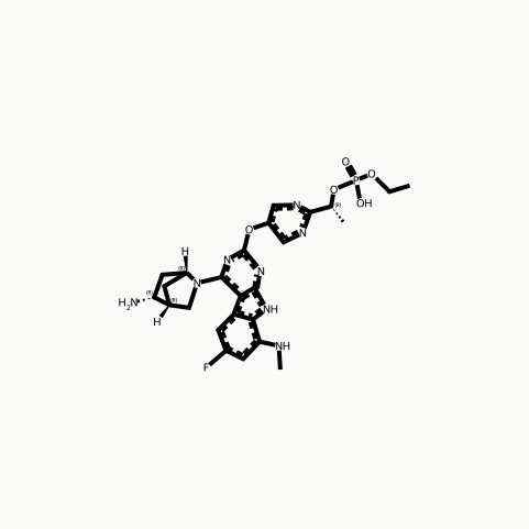 CCOP(=O)(O)O[C@H](C)c1ncc(Oc2nc(N3C[C@H]4C[C@@H]3C[C@H]4N)c3c(n2)[nH]c2c(NC)cc(F)cc23)cn1